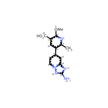 COc1nc(C)c(-c2ccn3nc(N)nc3c2)cc1C(=O)O